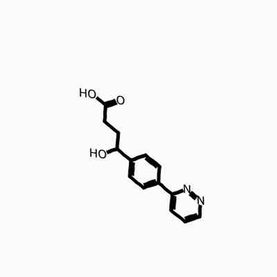 O=C(O)CCC(O)c1ccc(-c2cccnn2)cc1